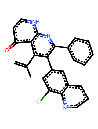 C=C(C)c1c(-c2cc(Cl)c3ncccc3c2)c(-c2ccccc2)nc2[nH]ccc(=O)c12